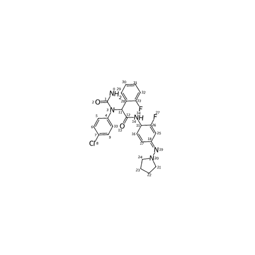 NC(=O)N(c1ccc(Cl)cc1)C(C(=O)NC1C=C/C(=N\N2CCCC2)C=C1F)c1ccccc1F